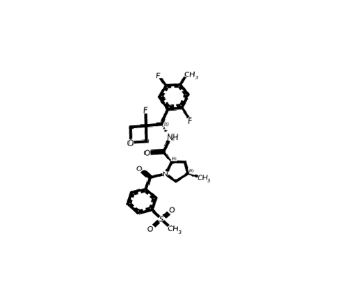 Cc1cc(F)c([C@H](NC(=O)[C@H]2C[C@@H](C)CN2C(=O)c2cccc(S(C)(=O)=O)c2)C2(F)COC2)cc1F